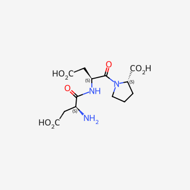 N[C@@H](CC(=O)O)C(=O)N[C@@H](CC(=O)O)C(=O)N1CCC[C@H]1C(=O)O